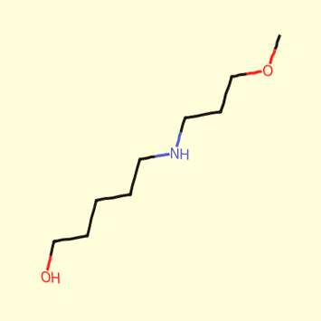 COCCCNCCCCCO